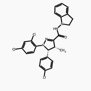 C[C@H]1C(C(=O)NN2CCc3ccccc32)=NN(c2ccc(Cl)cc2Cl)[C@H]1c1ccc(Cl)cc1